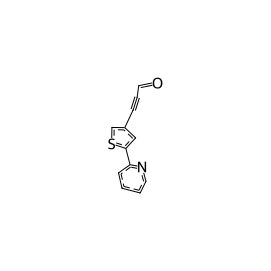 O=CC#Cc1csc(-c2ccccn2)c1